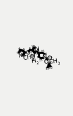 Cc1ncccc1OCc1cnn(C2CCN(C(=O)OC3(C)CC3)CC2)c1N